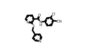 N#Cc1ccc(NC(=O)c2cccnc2SCc2ccncc2)cc1Cl